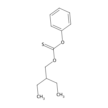 CCC(CC)COC(=S)Oc1ccccc1